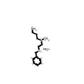 CN(CCCN)CCOCc1ccccc1.Cl